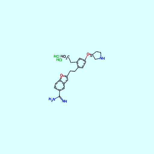 Cl.Cl.N=C(N)c1ccc2oc(CCc3ccc(O[C@H]4CCNC4)cc3CC(=O)O)cc2c1